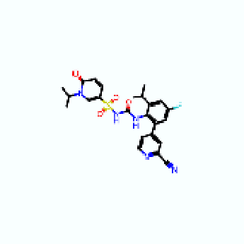 CC(C)c1cc(F)cc(-c2ccnc(C#N)c2)c1NC(=O)NS(=O)(=O)c1ccc(=O)n(C(C)C)c1